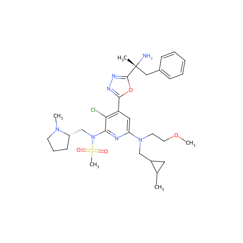 COCCN(CC1CC1C)c1cc(-c2nnc([C@](C)(N)Cc3ccccc3)o2)c(Cl)c(N(C[C@@H]2CCCN2C)S(C)(=O)=O)n1